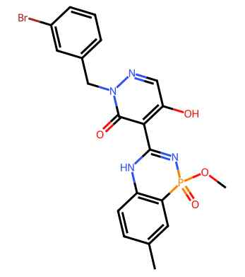 COP1(=O)N=C(c2c(O)cnn(Cc3cccc(Br)c3)c2=O)Nc2ccc(C)cc21